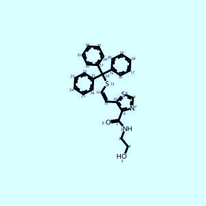 O=C(NCCO)c1ncsc1/C=C\SC(c1ccccc1)(c1ccccc1)c1ccccc1